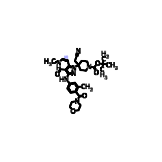 CN/C=C\c1c(C=O)c(Nc2ccc(C(=O)N3CCOCC3)c(C)c2)nn1C1(CC#N)CCN(C(=O)OC(C)(C)C)CC1